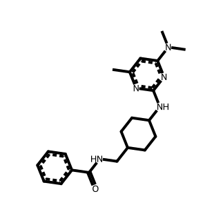 Cc1cc(N(C)C)nc(NC2CCC(CNC(=O)c3ccccc3)CC2)n1